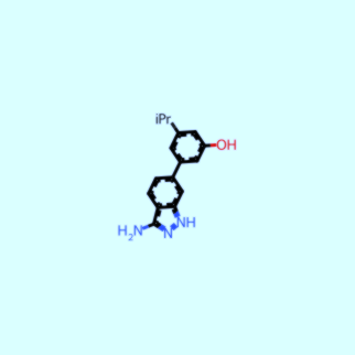 CC(C)c1cc(O)cc(-c2ccc3c(N)n[nH]c3c2)c1